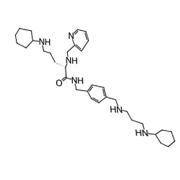 O=C(NCc1ccc(CNCCCNC2CCCCC2)cc1)[C@H](CCCNC1CCCCC1)NCc1ccccn1